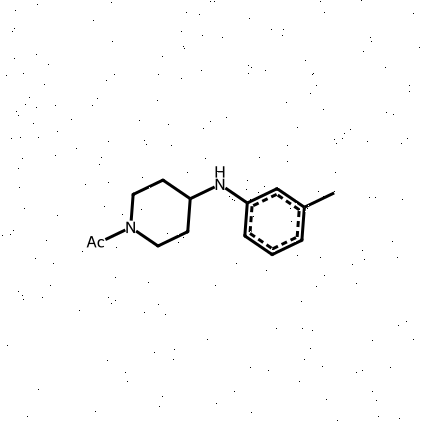 CC(=O)N1CCC(Nc2cccc(C)c2)CC1